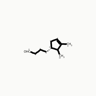 CC1=CC[C@@H](CCCC=O)C1C